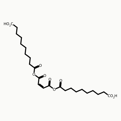 O=C(O)CCCCCCCCC(=O)OC(=O)/C=C\C(=O)OC(=O)CCCCCCCCC(=O)O